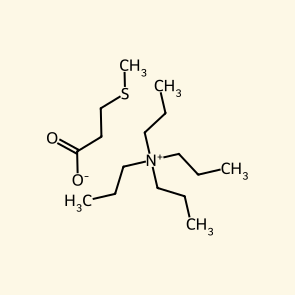 CCC[N+](CCC)(CCC)CCC.CSCCC(=O)[O-]